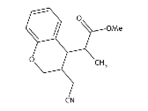 COC(=O)C(C)C1c2ccccc2OCC1CC#N